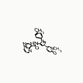 Cc1ccc(-n2nc(-c3ccc(=O)n(C)c3)cc2NC(=O)c2cnn3cccnc23)cc1